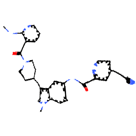 CNc1ncccc1C(=O)N1CCC(c2cn(C)c3ccc(NC(=O)c4cc(C#N)ccn4)cc23)CC1